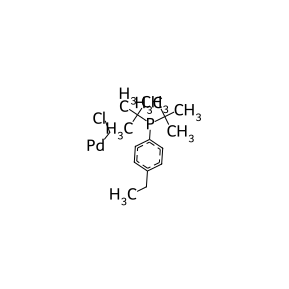 CCc1ccc(P(C(C)(C)C)C(C)(C)C)cc1.Cl[CH2][Pd]